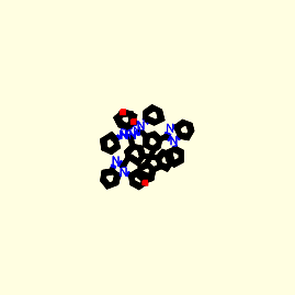 c1ccc(-n2c(-c3cc(-c4nc5ccccc5n4-c4ccccc4)cc(C4(c5cc(-c6nc7ccccc7n6-c6ccccc6)cc(-c6[nH]c7ccccc7[n+]6-c6ccccc6)c5)c5ccccc5-c5ccccc54)c3)nc3ccccc32)cc1